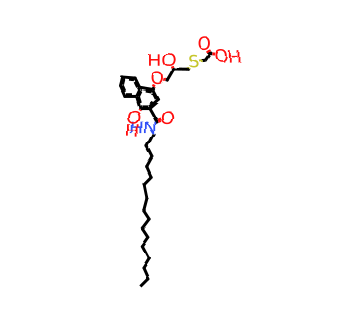 CCCCCCCCCCCCCCCCNC(=O)c1cc(OCC(O)CSCC(=O)O)c2ccccc2c1O